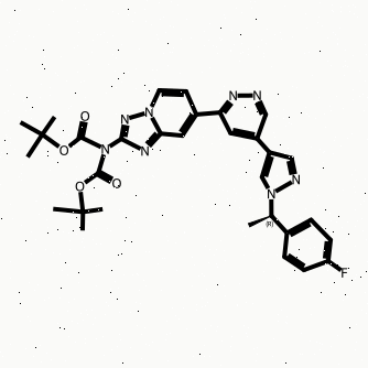 C[C@H](c1ccc(F)cc1)n1cc(-c2cnnc(-c3ccn4nc(N(C(=O)OC(C)(C)C)C(=O)OC(C)(C)C)nc4c3)c2)cn1